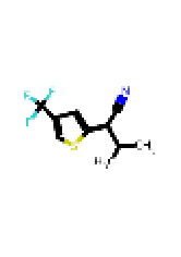 CC(C)C(C#N)c1cc(C(F)(F)F)cs1